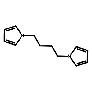 c1ccn(CCCCn2cccc2)c1